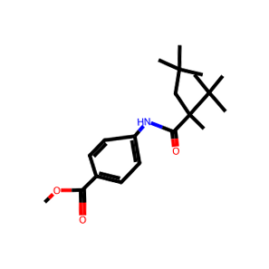 COC(=O)c1ccc(NC(=O)C(C)(CC(C)(C)C)C(C)(C)C)cc1